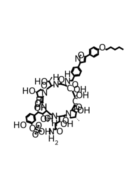 CCCCCOc1ccc(-c2cc(-c3ccc(C(=O)N[C@H]4C[C@H](O)[C@H](O)CC(=O)[C@H]5[C@H](O)[C@H](C)CN5C(=O)[C@@H]([C@@H](O)CC(N)=O)NC(=O)[C@@H]([C@@H](O)[C@H](O)c5ccc(O)c(OS(=O)(=O)O)c5)NC(=O)[C@H]5C[C@H](O)CN5C(=O)[C@@H]([C@H](C)O)NC4=O)cc3)no2)cc1